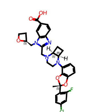 C[C@]1(c2ccc(Cl)cc2F)Oc2cccc(N3CCN(Cc4nc5ccc(C(=O)O)cc5n4C[C@@H]4CCO4)[C@H]4CC[C@H]43)c2O1